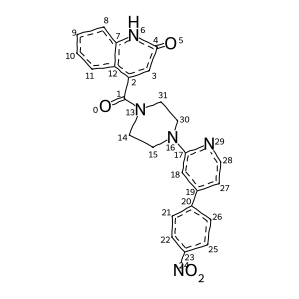 O=C(c1cc(=O)[nH]c2ccccc12)N1CCN(c2cc(-c3ccc([N+](=O)[O-])cc3)ccn2)CC1